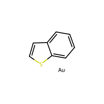 [Au].c1ccc2sccc2c1